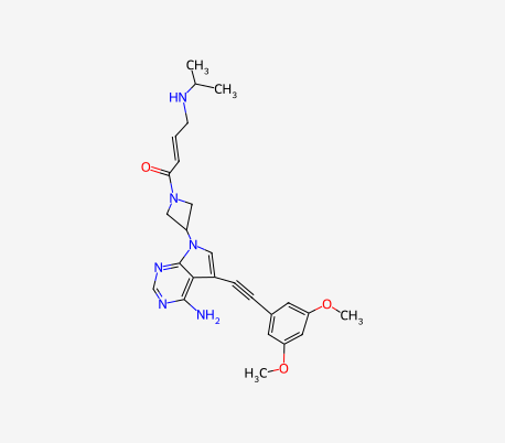 COc1cc(C#Cc2cn(C3CN(C(=O)C=CCNC(C)C)C3)c3ncnc(N)c23)cc(OC)c1